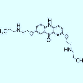 CCCNCCOc1ccc2[nH]c3ccc(OCCNCCC)cc3c(=O)c2c1